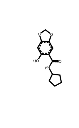 O=C(NC1CCCC1)c1cc2c(cc1O)OCO2